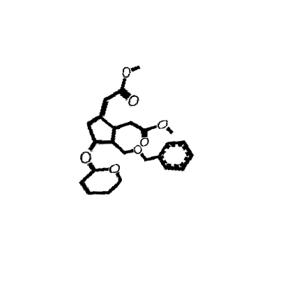 COC(=O)C=C1CC(OC2CCCCO2)C(COCc2ccccc2)C1CC(=O)OC